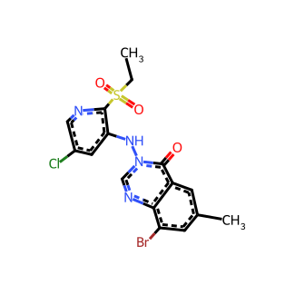 CCS(=O)(=O)c1ncc(Cl)cc1Nn1cnc2c(Br)cc(C)cc2c1=O